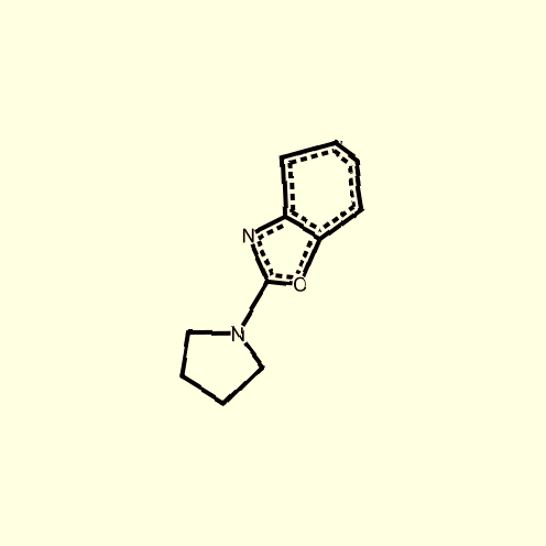 [c]1ccc2oc(N3CCCC3)nc2c1